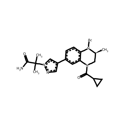 CC(=O)N1c2ccc(-c3cnn(C(C)(C)C(N)=O)c3)cc2N(C(=O)C2CC2)C[C@@H]1C